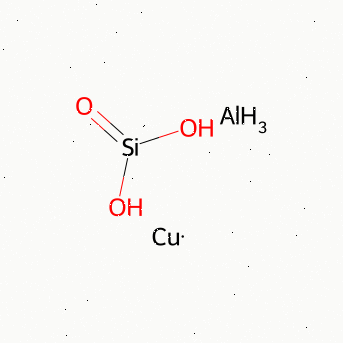 O=[Si](O)O.[AlH3].[Cu]